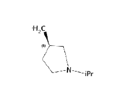 [CH2][C@@H]1CCN(C(C)C)C1